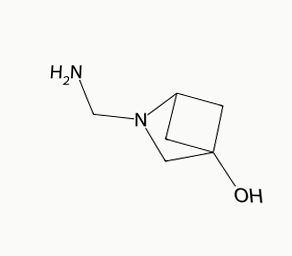 NCN1CC2(O)CC1C2